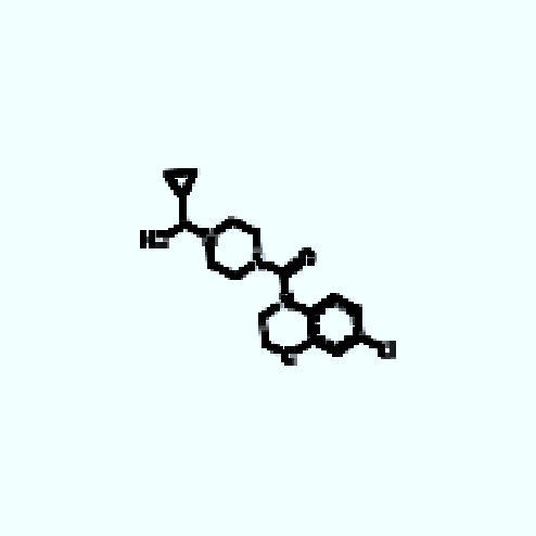 O=C(N1CCN(C(O)C2CC2)CC1)N1CCOc2cc(Cl)ccc21